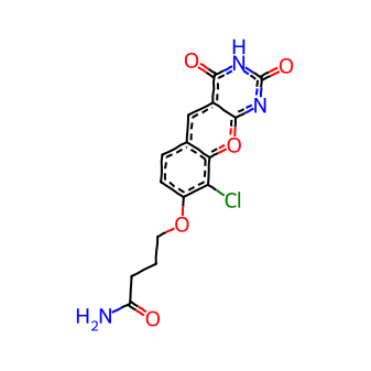 NC(=O)CCCOc1ccc2cc3c(=O)[nH]c(=O)nc-3oc2c1Cl